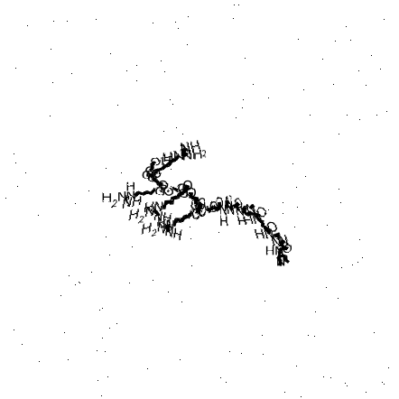 Cc1cc(NC(=O)c2nc(NC(=O)CCNC(=O)c3cc(NC(=O)c4nc(NC(=O)COCCOP(=O)(OCCCCCCNC(=N)N)OCCOP(=O)(OCCCCCCNC(=N)N)OCCOP(OCCCCCCNC(=N)N)OCCOP(=O)(OCCO)OCCCCCCNC(=N)N)cn4C)cn3C)cn2C)cn1C